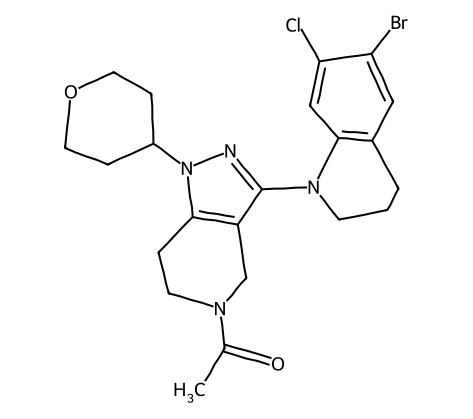 CC(=O)N1CCc2c(c(N3CCCc4cc(Br)c(Cl)cc43)nn2C2CCOCC2)C1